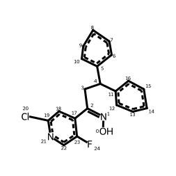 ON=C(CC(c1ccccc1)c1ccccc1)c1cc(Cl)ncc1F